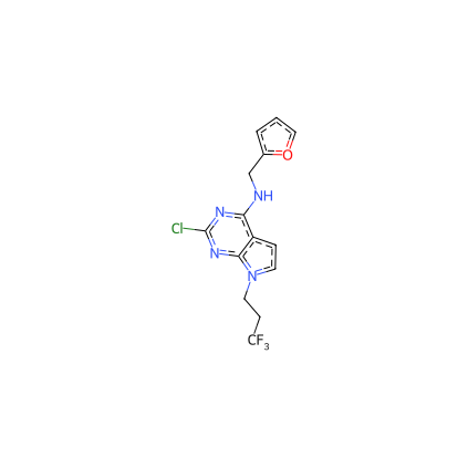 FC(F)(F)CCn1ccc2c(NCc3ccco3)nc(Cl)nc21